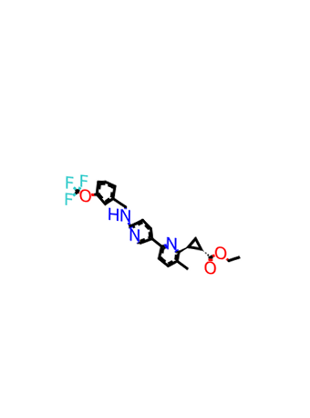 CCOC(=O)[C@H]1C[C@@H]1c1nc(-c2ccc(NCc3cccc(OC(F)(F)F)c3)nc2)ccc1C